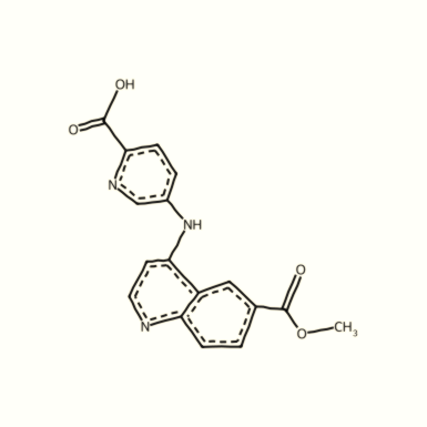 COC(=O)c1ccc2nccc(Nc3ccc(C(=O)O)nc3)c2c1